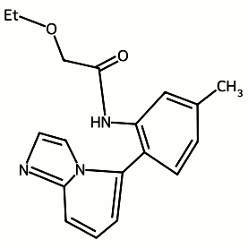 CCOCC(=O)Nc1cc(C)ccc1-c1cccc2nccn12